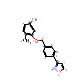 Cc1ccc(Cl)cc1OCc1ccc(-c2ccon2)cc1